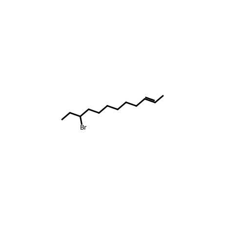 CC=CCCCCCCC(Br)CC